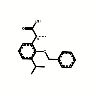 CC(C)c1cccc([C@@H](C)C(=O)O)c1OCc1ccccc1